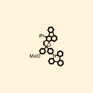 COc1ccc(C2(c3ccc(N4c5ccccc5-c5ccccc5-c5ccccc54)cc3)C=Cc3c(C(C)C)c4c5c(cccc5c3O2)-c2ccccc2-4)cc1